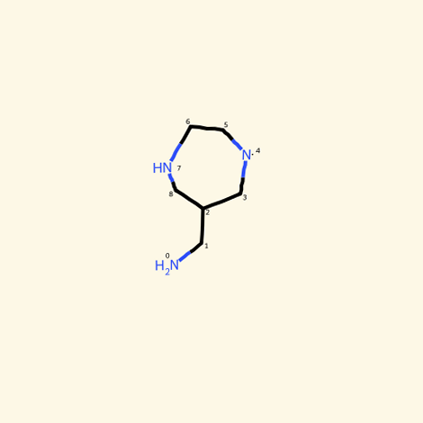 NCC1C[N]CCNC1